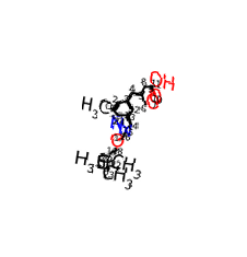 Cc1cc(CC(C=O)CC(=O)O)cc2cn(COCC[Si](C)(C)C)nc12